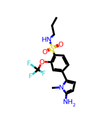 CCCNS(=O)(=O)c1ccc(-c2ccc(N)n2C)cc1OC(F)(F)F